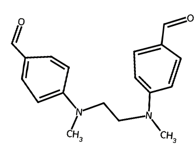 CN(CCN(C)c1ccc(C=O)cc1)c1ccc(C=O)cc1